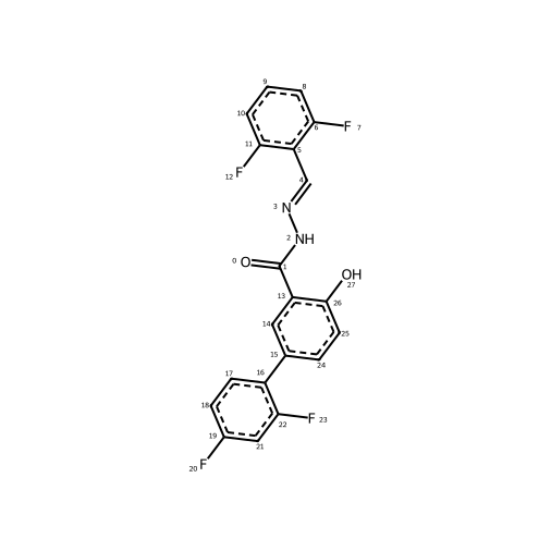 O=C(NN=Cc1c(F)cccc1F)c1cc(-c2ccc(F)cc2F)ccc1O